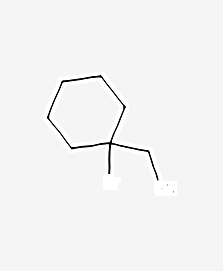 N#CCC1(Br)CCCCC1